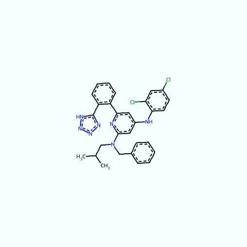 CC(C)CN(Cc1ccccc1)c1cc(Nc2ccc(Cl)cc2Cl)cc(-c2ccccc2-c2nnn[nH]2)n1